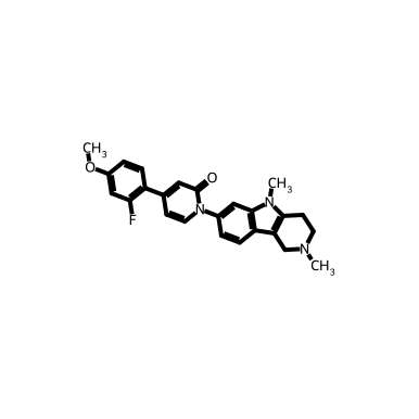 COc1ccc(-c2ccn(-c3ccc4c5c(n(C)c4c3)CCN(C)C5)c(=O)c2)c(F)c1